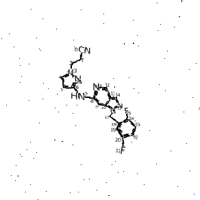 N#CCCn1ccc(Nc2cc3c(cn2)cnn3Cc2cc(F)ccc2F)n1